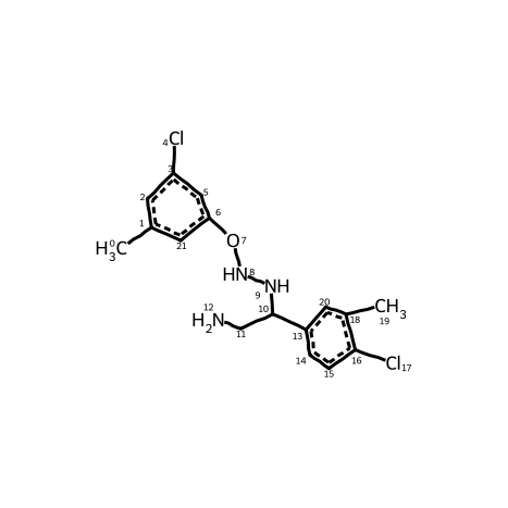 Cc1cc(Cl)cc(ONNC(CN)c2ccc(Cl)c(C)c2)c1